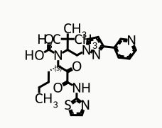 CCCC[C@@H](C(=O)C(=O)Nc1nccs1)N(C(=O)O)C(Cn1ccc(-c2cccnc2)n1)C(C)(C)C